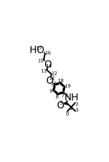 CC(C)(C)C(=O)Nc1ccc(OCCOCCO)cc1